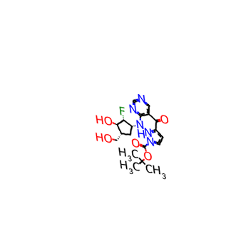 CC(C)(C)OC(=O)n1ccc(C(=O)c2cncnc2N[C@@H]2C[C@H](CO)[C@@H](O)[C@@H]2F)n1